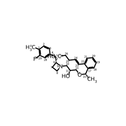 Cc1ccc(C[C@@H]2CCN2C[C@H](O)CO[C@H](C)c2ccccc2/C=C/CCC(=O)O)cc1F